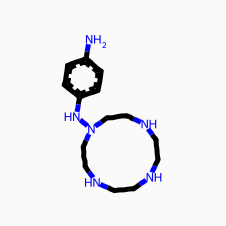 Nc1ccc(NN2CCNCCNCCNCC2)cc1